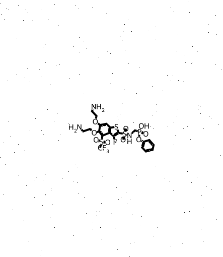 NCCOc1cc2sc(S(=O)(=O)NCP(=O)(O)Oc3ccccc3)c(F)c2c(S(=O)(=O)C(F)(F)F)c1OCCN